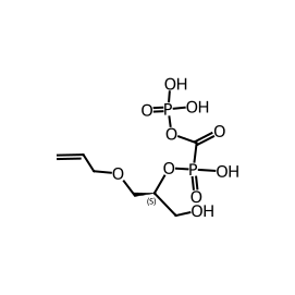 C=CCOC[C@H](CO)OP(=O)(O)C(=O)OP(=O)(O)O